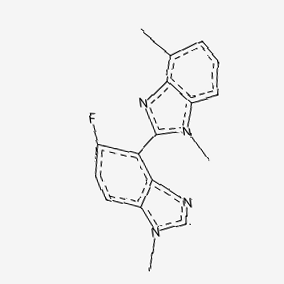 Cc1cccc2c1nc(-c1c(F)ccc3c1n[c]n3C)n2C